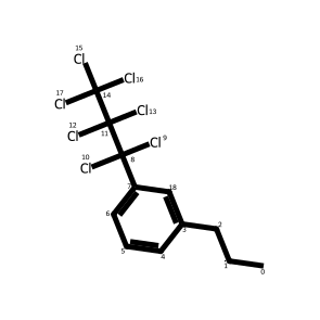 C[CH]Cc1cccc(C(Cl)(Cl)C(Cl)(Cl)C(Cl)(Cl)Cl)c1